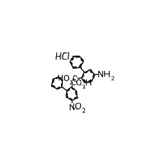 Cl.Nc1ccc(C(=O)O)c(-c2ccccc2)c1.O=C(O)c1ccc([N+](=O)[O-])cc1-c1ccccc1